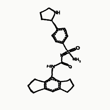 NS(=O)(=NC(=O)Nc1c2c(cc3c1CCC3)CCC2)c1ccc([C@H]2CCCN2)cc1